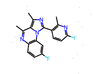 Cc1nc(F)ccc1-c1nc(C)c2c(C)nc3ccc(F)cc3n12